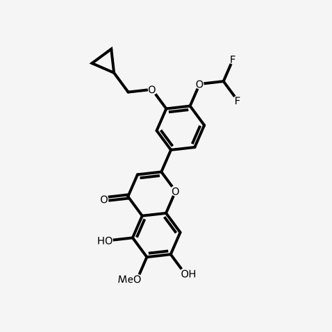 COc1c(O)cc2oc(-c3ccc(OC(F)F)c(OCC4CC4)c3)cc(=O)c2c1O